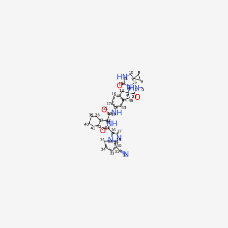 CNC(=O)C1(N2CC3(CC3)CNC2=O)Cc2ccc(NC(=O)[C@@H](NC(=O)c3cnc4c(C#N)cccn34)C3CCCCC3)cc2C1